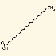 CCCCCCCC/C=C/CC/C=C/CCCCCCCC(=O)O